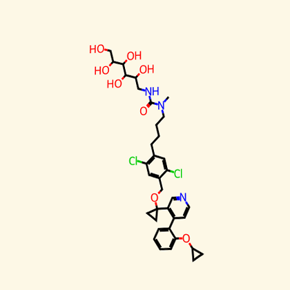 CN(CCCCc1cc(Cl)c(COC2(c3cnccc3-c3ccccc3OC3CC3)CC2)cc1Cl)C(=O)NCC(O)C(O)C(O)C(O)CO